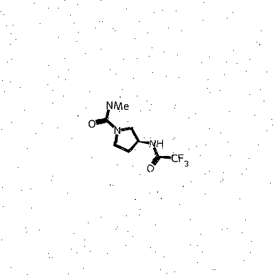 CNC(=O)N1CC[C@H](NC(=O)C(F)(F)F)C1